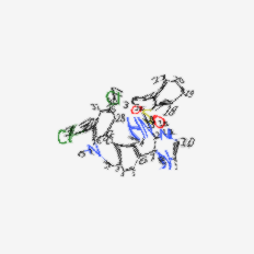 CN(Cc1ccc(-c2nccnc2NS(=O)(=O)c2ccccc2C(F)(F)F)cc1)c1ccc(Cl)cc1Cl